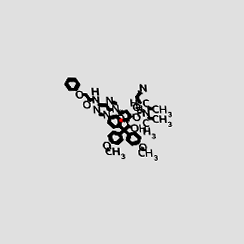 COc1ccc(C(c2ccccc2)(c2ccc(OC)cc2)C(O)[C@H]2O[C@@H](n3cnc4c(NC(=O)COc5ccccc5)ncnc43)C[C@@H]2OP(OCCC#N)N(C(C)C)C(C)C)cc1